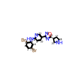 Brc1ccc(Br)c(Nc2ccc(-c3noc([C@@H]4CCNC4)n3)cn2)c1